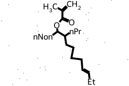 C=C(C)C(=O)OC(CCCCCCCCC)C(CCC)CCCCC=CCC